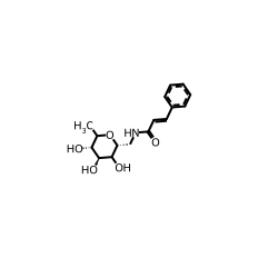 CC1O[C@H](CNC(=O)/C=C/c2ccccc2)C(O)[C@@H](O)[C@@H]1O